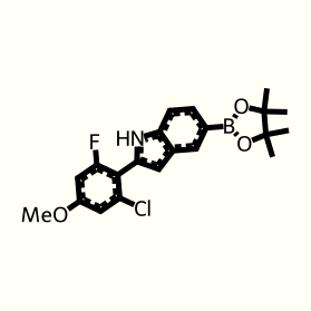 COc1cc(F)c(-c2cc3cc(B4OC(C)(C)C(C)(C)O4)ccc3[nH]2)c(Cl)c1